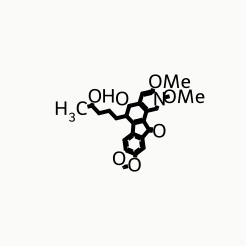 COC1=CC2=C(CN1OC)C1=C(c3cc4c(cc3C1=O)OCO4)C(CCCC(C)O)C2=O